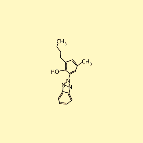 CCCCc1cc(C)cc(-n2n3c4ccccc4n23)c1O